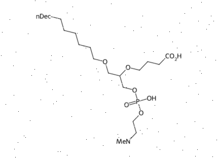 CCCCCCCCCCCCCCCCOCC(COP(=O)(O)OCCNC)OCCCC(=O)O